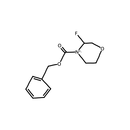 O=C(OCc1ccccc1)[N+]1CCOCC1F